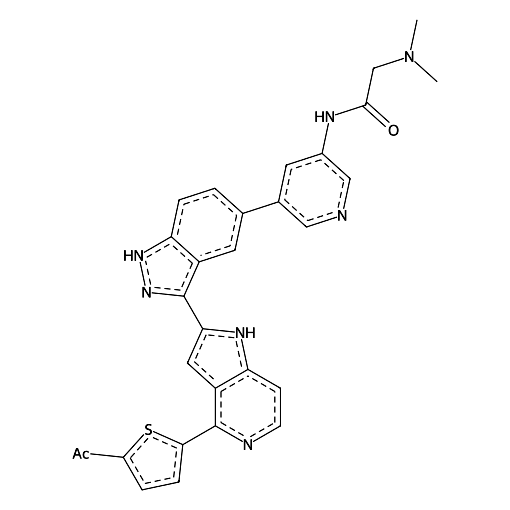 CC(=O)c1ccc(-c2nccc3[nH]c(-c4n[nH]c5ccc(-c6cncc(NC(=O)CN(C)C)c6)cc45)cc23)s1